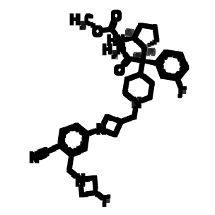 COC(=O)N[C@H]1CCC[C@@H]1[C@](C(N)=O)(c1cccc(F)c1)C1CCN(CC2CN(c3ccc(C#N)c(CN4CC(F)C4)c3)C2)CC1